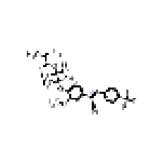 C=C(C)C(=O)OC(C)(C)C(C)(C)Oc1ccc(/C(C#N)=C/c2ccc(C(F)(F)F)cc2)cc1OC